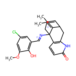 C/C=C1/C2C=C(C)CC1(/N=C/c1cc(Cl)cc(OC)c1O)c1ccc(=O)[nH]c1C2